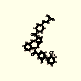 Cc1cc(C(=O)N2Cc3ccc(C(=O)N4CCN(CCN(C)C)CC4)n3Cc3ccccc32)ccc1-c1ccccc1C(F)(F)F